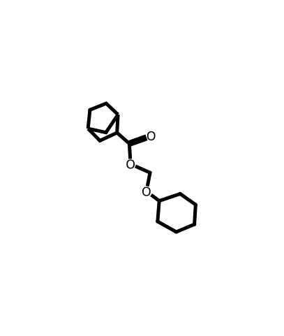 O=C(OCOC1CCCCC1)C1CC2CCC1C2